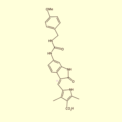 COc1ccc(CNC(=O)Nc2ccc3c(c2)NC(=O)/C3=C\c2[nH]c(C)c(C(=O)O)c2C)cc1